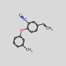 [C-]#[N+]c1cc(C=C)ccc1Oc1cccc(C)c1